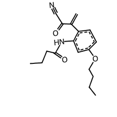 C=C(C(=O)C#N)c1ccc(OCCCC)cc1NC(=O)CCC